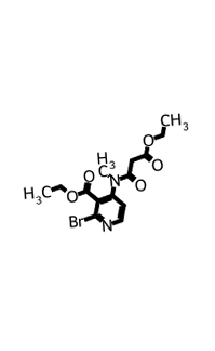 CCOC(=O)CC(=O)N(C)c1ccnc(Br)c1C(=O)OCC